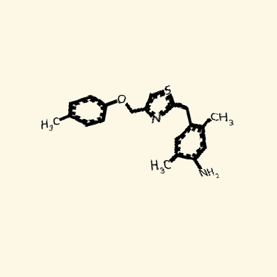 Cc1ccc(OCc2csc(Cc3cc(C)c(N)cc3C)n2)cc1